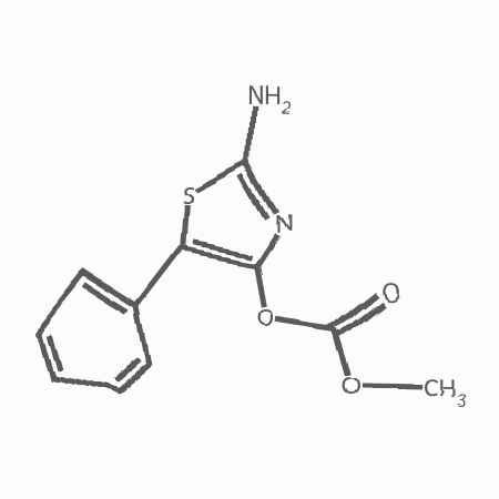 COC(=O)Oc1nc(N)sc1-c1ccccc1